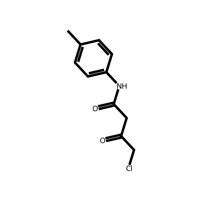 Cc1ccc(NC(=O)CC(=O)CCl)cc1